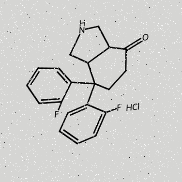 Cl.O=C1CCC(c2ccccc2F)(c2ccccc2F)C2CNCC12